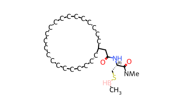 CBSC[C@H](NC(=O)CC1CCCCCCCCCCCCCCCCCCCCCC1)C(=O)NC